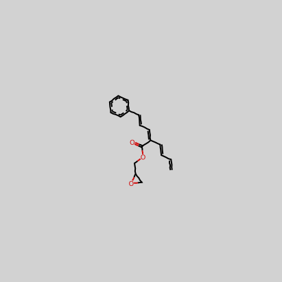 C=CC=CC(=CC=Cc1ccccc1)C(=O)OCC1CO1